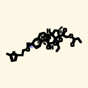 CCC(=O)OCC(=O)[C@@]1(OC(=O)CC)[C@@H](C)C[C@H]2[C@@H]3CCC4=C/C(=N/OCCc5ccc(C)s5)C=C[C@]4(C)[C@@]3(F)[C@@H](O)C[C@@]21C